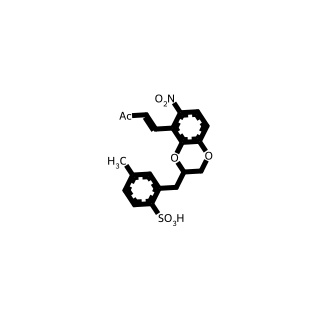 CC(=O)C=Cc1c([N+](=O)[O-])ccc2c1OC(Cc1cc(C)ccc1S(=O)(=O)O)CO2